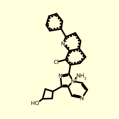 N[N+]12C=CN=CC1=C(C1CC(O)C1)N=C2c1ccc2ccc(-c3ccccc3)nc2c1Cl